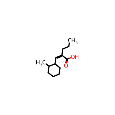 CCCC(=CC1CCCCC1C)C(=O)O